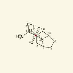 CC(C)S(=O)(=O)N1C2CCC1CC(=O)C2